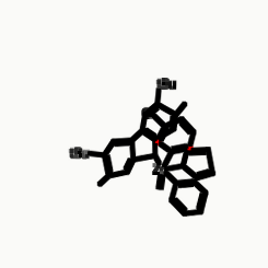 [CH2]=[Zr]([c]1ccccc1)([c]1cccc(Cl)c1)([CH]1C=CC=C1)[CH]1c2cc(C)c(C(C)(C)C)cc2-c2cc(C(C)(C)C)c(C)cc21